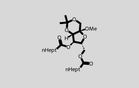 CCCCCCCC(=O)OC[C@H]1O[C@@]2(OC)COC(C)(C)O[C@H]2[C@@H]1OC(=O)CCCCCCC